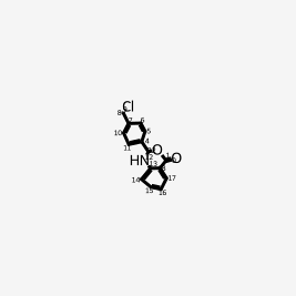 O=C1OC(c2ccc(CCl)cc2)Nc2ccccc21